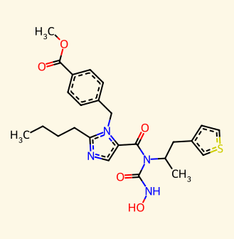 CCCCc1ncc(C(=O)N(C(=O)NO)C(C)Cc2ccsc2)n1Cc1ccc(C(=O)OC)cc1